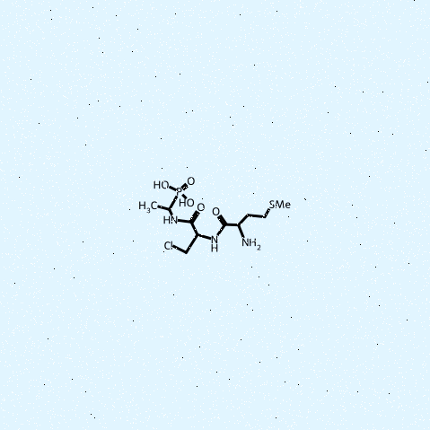 CSCCC(N)C(=O)NC(CCl)C(=O)NC(C)P(=O)(O)O